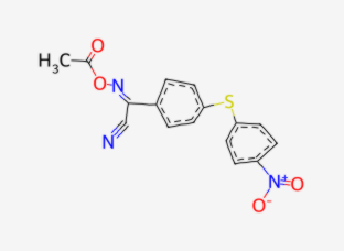 CC(=O)O/N=C(\C#N)c1ccc(Sc2ccc([N+](=O)[O-])cc2)cc1